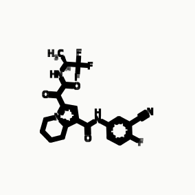 C[C@H](NC(=O)C(=O)c1cc(C(=O)Nc2ccc(F)c(C#N)c2)c2n1CCCC2)C(F)(F)F